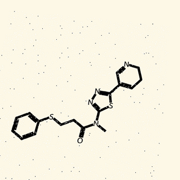 CN(C(=O)CCSc1ccccc1)c1nnc(C2=CCCN=C2)s1